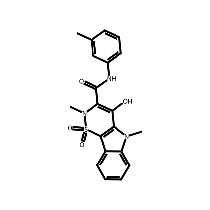 Cc1cccc(NC(=O)C2=C(O)c3c(c4ccccc4n3C)S(=O)(=O)N2C)c1